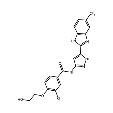 O=C(Nc1cc(-c2nc3cc(C(F)(F)F)ccc3[nH]2)[nH]n1)c1ccc(OCCO)c(Cl)c1